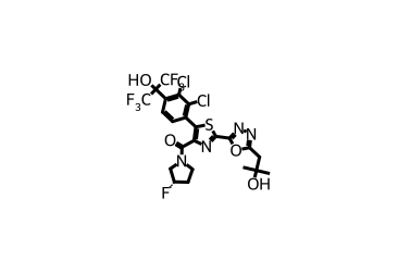 CC(C)(O)Cc1nnc(-c2nc(C(=O)N3CC[C@H](F)C3)c(-c3ccc(C(O)(C(F)(F)F)C(F)(F)F)c(Cl)c3Cl)s2)o1